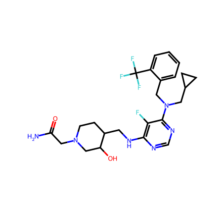 NC(=O)CN1CCC(CNc2ncnc(N(Cc3ccccc3C(F)(F)F)CC3CC3)c2F)C(O)C1